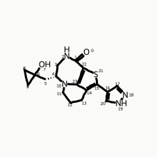 O=C1NC[C@@H](CC2(O)CC2)N2CCCc3c(-c4cn[nH]c4)sc1c32